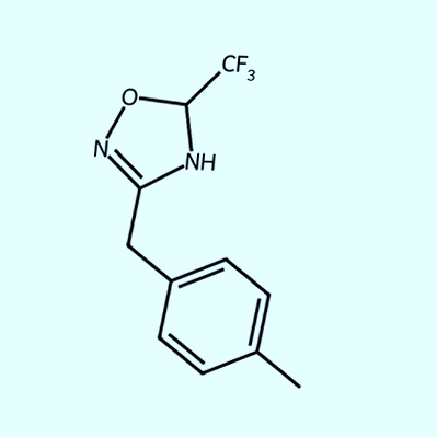 Cc1ccc(CC2=NOC(C(F)(F)F)N2)cc1